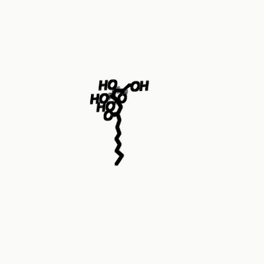 CCCCCCCCC(=O)C[C@@]1(O)O[C@H](CO)[C@H](O)[C@H]1O